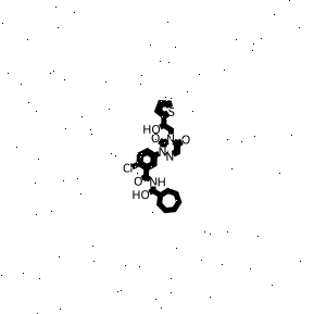 O=C(NC(O)C1CCCCCC1)c1cc(-n2ncc(=O)n(CC(O)c3cccs3)c2=O)ccc1Cl